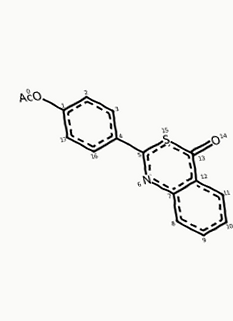 CC(=O)Oc1ccc(-c2nc3ccccc3c(=O)s2)cc1